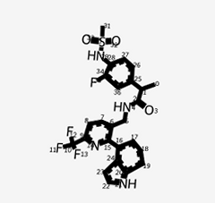 CC(C(=O)NCc1ccc(C(F)(F)F)nc1-c1cccc2[nH]ccc12)c1ccc(NS(C)(=O)=O)c(F)c1